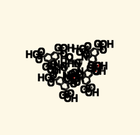 O=CN(c1cc(C(=O)c2cc(N(C=O)c3cc(S(=O)(=O)O)cc4cc(S(=O)(=O)O)cc(S(=O)(=O)O)c34)c3c(N(C=O)c4cc(S(=O)(=O)O)cc5cc(S(=O)(=O)O)cc(S(=O)(=O)O)c45)c2N3)c2c(N(C=O)c3cc(S(=O)(=O)O)cc4cc(S(=O)(=O)O)cc(S(=O)(=O)O)c34)c1N2)c1cc(S(=O)(=O)O)cc2cc(S(=O)(=O)O)cc(S(=O)(=O)O)c12